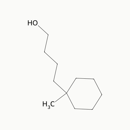 CC1(CCCCO)CCCCC1